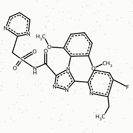 CCc1nc(-c2nnc(C(=O)NS(=O)(=O)Cc3ncccn3)n2-c2c(OC)cccc2OC)ccc1F